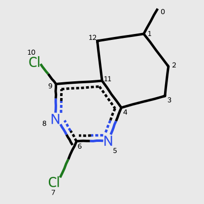 CC1CCc2nc(Cl)nc(Cl)c2C1